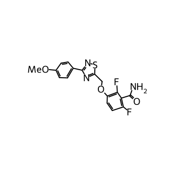 COc1ccc(-c2nsc(COc3ccc(F)c(C(N)=O)c3F)n2)cc1